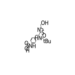 CC(C)(C)C(=O)N[C@@H](Cc1ccc(N[SH](=O)=O)cc1)c1nc(CO)cs1